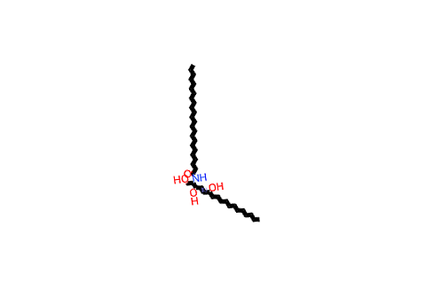 CCCCCCCCCCCCCCCCCCCCCCCC(=O)NC(CO)C(O)/C=C/C(O)CCCCCCCCCCCC